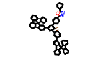 c1ccc(-c2nnc(-c3ccc(-c4cc(-c5ccc6c(c5)C5(c7ccccc7-c7ccccc75)c5ccccc5-6)cc5c4sc4ccc(-c6ccc7c(c6)C6(c8ccccc8-c8ccccc86)c6ccccc6-7)cc45)cc3)o2)cc1